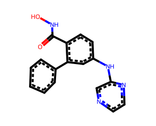 O=C(NO)c1ccc(Nc2cnccn2)cc1-c1ccccc1